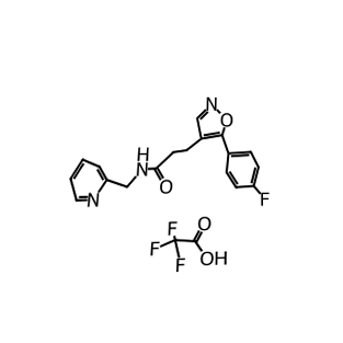 O=C(CCc1cnoc1-c1ccc(F)cc1)NCc1ccccn1.O=C(O)C(F)(F)F